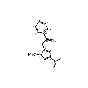 COC1C=C(N(C)C)C=C1CC(=O)c1ccccc1